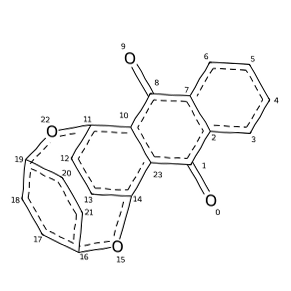 O=c1c2ccccc2c(=O)c2c3ccc(oc4ccc(cc4)o3)c12